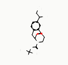 CC(C)(C)OC(=O)N1CCC23CCCCC2C1Cc1ccc(C(O)CO)cc13